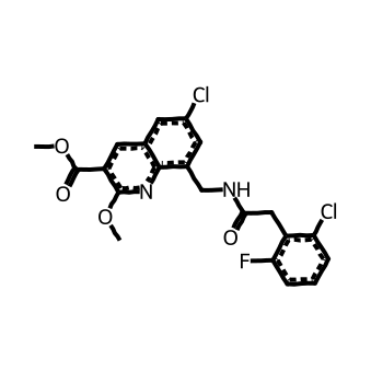 COC(=O)c1cc2cc(Cl)cc(CNC(=O)Cc3c(F)cccc3Cl)c2nc1OC